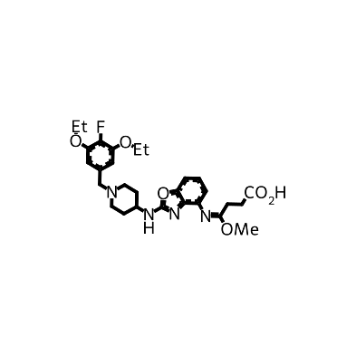 CCOc1cc(CN2CCC(Nc3nc4c(N=C(CCC(=O)O)OC)cccc4o3)CC2)cc(OCC)c1F